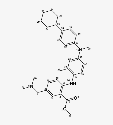 COC(=O)c1cc(CN(C)C)ccc1Nc1ccc(N(C)c2ccc(C3CCCCC3)cc2)cc1C